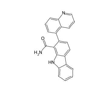 NC(=O)c1c(-c2cccc3ncccc23)ccc2c1[nH]c1ccccc12